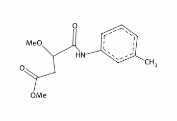 COC(=O)CC(OC)C(=O)Nc1cccc(C)c1